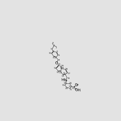 CC(C)Cc1ccc(COc2ccc3cc(CNC4CCCC(C(=O)O)C4)ccc3c2)cc1